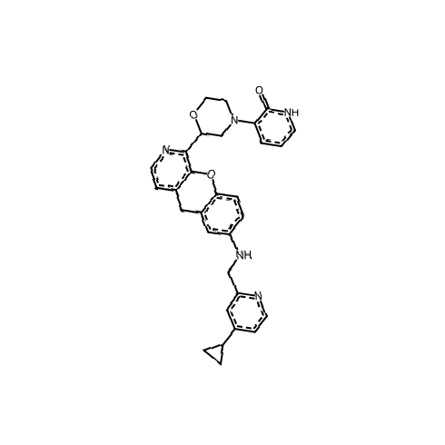 O=c1[nH]cccc1N1CCOC(c2nccc3c2Oc2ccc(NCc4cc(C5CC5)ccn4)cc2C3)C1